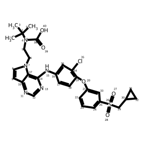 CC(C)(C)N(CCn1ccc2ncnc(Nc3ccc(Oc4cccc(S(=O)(=O)CC5CC5)c4)c(Cl)c3)c21)C(=O)O